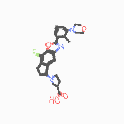 Cc1c(-c2nc3cc4c(c(F)c3o2)CCC4N2CCC(C(=O)O)C2)cccc1N1CCOCC1